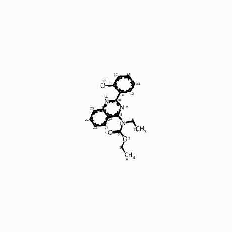 CCOC(=O)N(CC)c1nc(-c2ccccc2Cl)nc2ccccc12